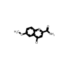 COc1ccc2nc(C(N)=O)cc(Cl)c2c1